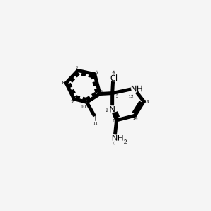 NC1=NC(Cl)(c2ccccc2I)NC=C1